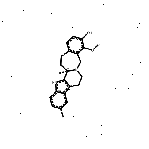 COc1c(O)ccc2c1CN1CCc3c([nH]c4ccc(C)cc34)[C@@H]1CC2